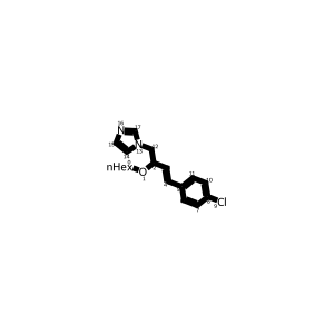 CCCCCCOC(/C=C/c1ccc(Cl)cc1)Cn1ccnc1